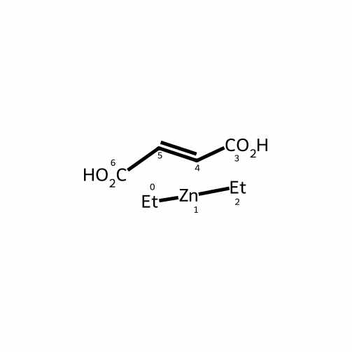 C[CH2][Zn][CH2]C.O=C(O)/C=C/C(=O)O